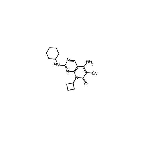 N#Cc1c(N)c2cnc(NC3CCCCC3)nc2n(C2CCC2)c1=O